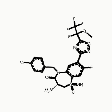 COC(F)(c1nc(-c2cc3c(cc2F)S(=N)(=O)C[C@H](N)C(=O)N3Cc2ccc(Cl)cc2)no1)C(F)(F)F